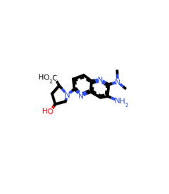 CN(C)c1nc2ccc(N3CC(O)CC3C(=O)O)nc2cc1N